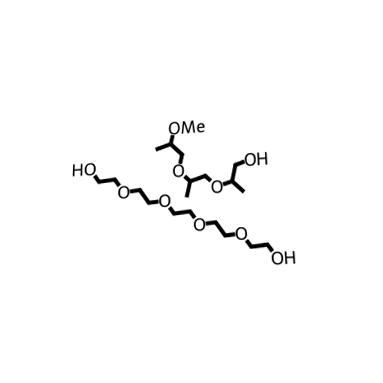 COC(C)COC(C)COC(C)CO.OCCOCCOCCOCCOCCO